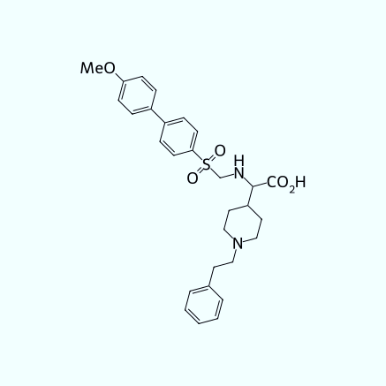 COc1ccc(-c2ccc(S(=O)(=O)CNC(C(=O)O)C3CCN(CCc4ccccc4)CC3)cc2)cc1